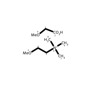 COCC(=O)O.COCC[N+](C)(C)C